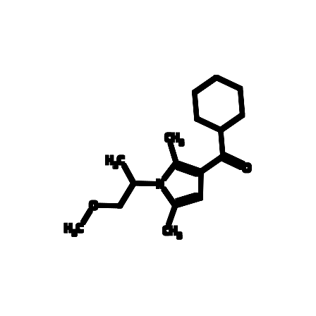 COCC(C)n1c(C)cc(C(=O)C2CCCCC2)c1C